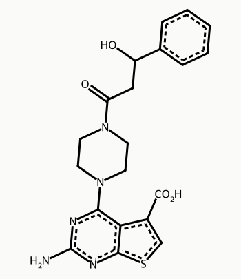 Nc1nc(N2CCN(C(=O)CC(O)c3ccccc3)CC2)c2c(C(=O)O)csc2n1